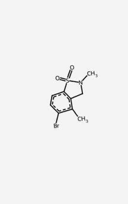 Cc1c(Br)ccc2c1CN(C)S2(=O)=O